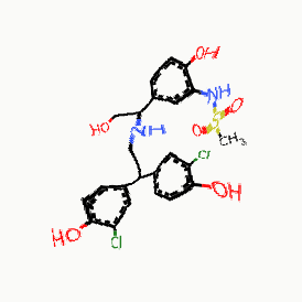 CS(=O)(=O)Nc1cc(C(CO)NCC(c2ccc(O)c(Cl)c2)c2ccc(O)c(Cl)c2)ccc1O